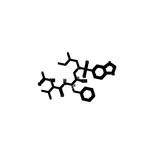 CCC(C)CN(C[C@@H](O)[C@H](Cc1ccccc1)NC(=O)C(NC(C)=O)C(C)C)S(=O)(=O)c1ccc2ncsc2c1